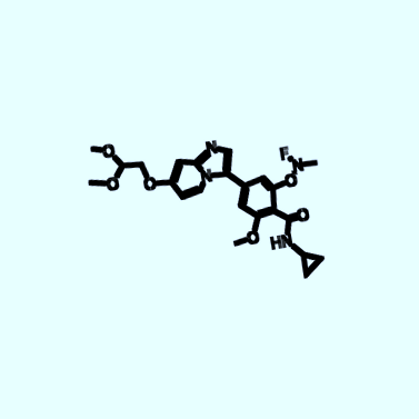 COc1cc(-c2cnc3cc(OCC(OC)OC)ccn23)cc(ON(C)F)c1C(=O)NC1CC1